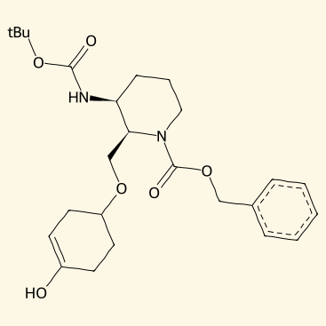 CC(C)(C)OC(=O)N[C@H]1CCCN(C(=O)OCc2ccccc2)[C@H]1COC1CC=C(O)CC1